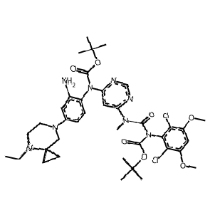 CCN1CCN(c2ccc(N(C(=O)OC(C)(C)C)c3cc(N(C)C(=O)N(C(=O)OC(C)(C)C)c4c(Cl)c(OC)cc(OC)c4Cl)ncn3)c(N)c2)CC12CC2